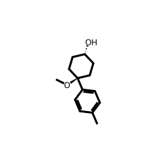 CO[C@]1(c2ccc(C)cc2)CC[C@@H](O)CC1